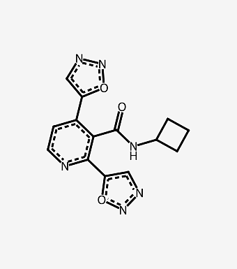 O=C(NC1CCC1)c1c(-c2cnno2)ccnc1-c1cnno1